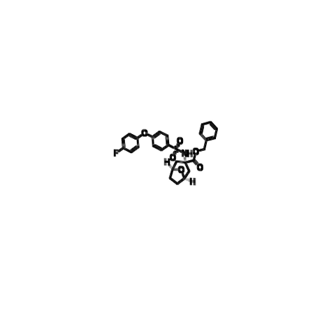 O=C(OCc1ccccc1)[C@@]1(NS(=O)(=O)c2ccc(Oc3ccc(F)cc3)cc2)C[C@H]2CC[C@@H](C1)O2